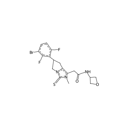 Cn1c(CC(=O)NC2COC2)c2n(c1=S)CC(c1c(F)ccc(Br)c1F)C2